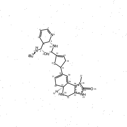 CC[C@H](C)N[C@@H](O)C1C=CC=N[C@@H]1NCC1=CCC(C2=CC[C@@H]3NCc4[nH]c(=O)n(C)c4C3=C2)S1